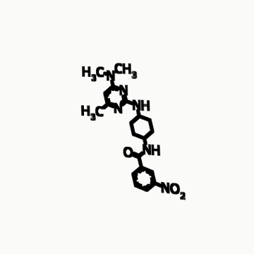 Cc1cc(N(C)C)nc(NC2CCC(NC(=O)c3cccc([N+](=O)[O-])c3)CC2)n1